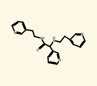 O=C(NCCc1cccnc1)C(NCCc1cccnc1)c1cccnc1